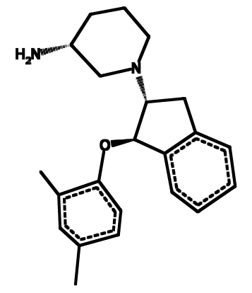 Cc1ccc(O[C@@H]2c3ccccc3C[C@H]2N2CCC[C@@H](N)C2)c(C)c1